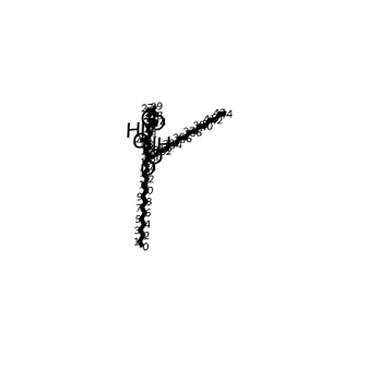 CCCCCCCCCCCCCCOCC(CNC(=O)CNC(=O)OC(C)(C)C)OCCCCCCCCCCCCCC